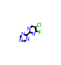 Fc1nc(-c2ncncn2)n[c]c1Cl